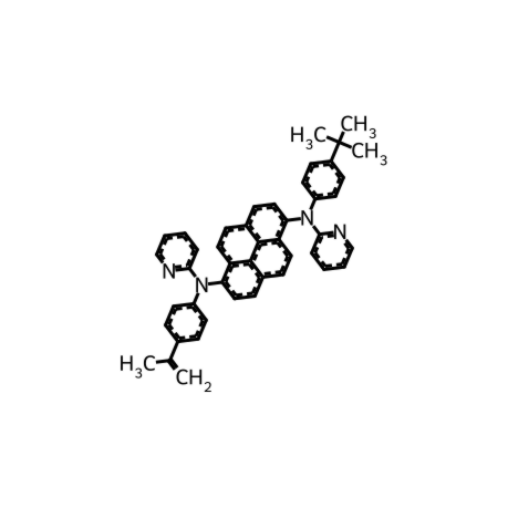 C=C(C)c1ccc(N(c2ccccn2)c2ccc3ccc4c(N(c5ccc(C(C)(C)C)cc5)c5ccccn5)ccc5ccc2c3c54)cc1